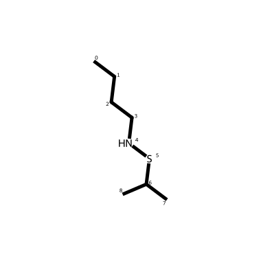 CCCCNSC(C)C